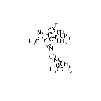 Cc1cncc2c1c(CC1CN(CC3CCCN(C(=O)OC(C)(C)C)C3)C1)cn2-c1ccc(F)cc1C(=O)N(C)C(C)C